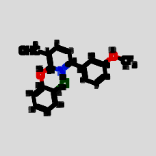 O=Cc1ccc(-c2cccc(OC(F)(F)F)c2)nc1Oc1ccccc1Cl